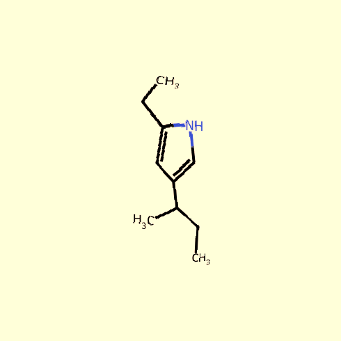 CCc1cc(C(C)CC)c[nH]1